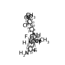 CC(C)(F)C[C@H](N[C@@H](c1ccc(-c2ccc(S(C)(=O)=O)cc2Cl)cc1)C(F)(F)F)C(=O)NC(N)Cc1ccc(N)cc1F